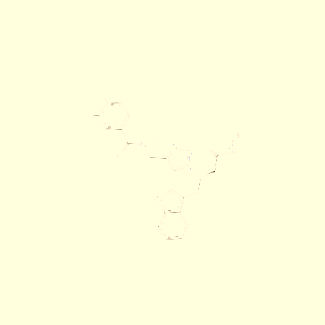 O=C(C[C@@H](Cc1c[nH]c2ccccc12)n1cc(CNC(=O)c2ccc(F)c(F)c2)nn1)NO